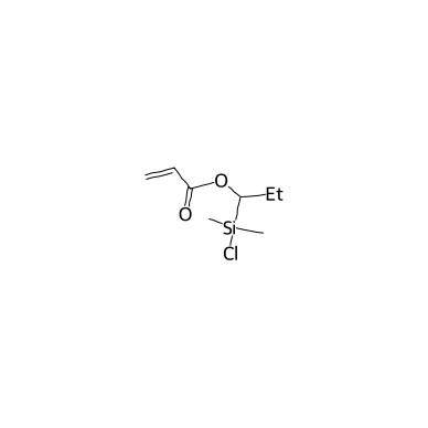 C=CC(=O)OC(CC)[Si](C)(C)Cl